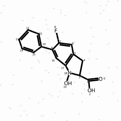 O=C(O)C1Cc2cc(F)c(-c3ccccc3)cc2N1O